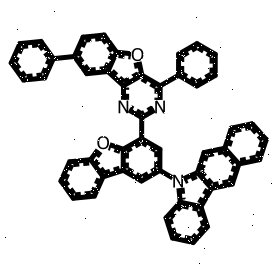 c1ccc(-c2ccc3oc4c(-c5ccccc5)nc(-c5cc(-n6c7ccccc7c7cc8ccccc8cc76)cc6c5oc5ccccc56)nc4c3c2)cc1